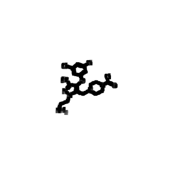 CCc1nn(CCN)c(CN2CCN(C(=O)Cl)CC2)c1Oc1cc(Cl)cc(Cl)c1